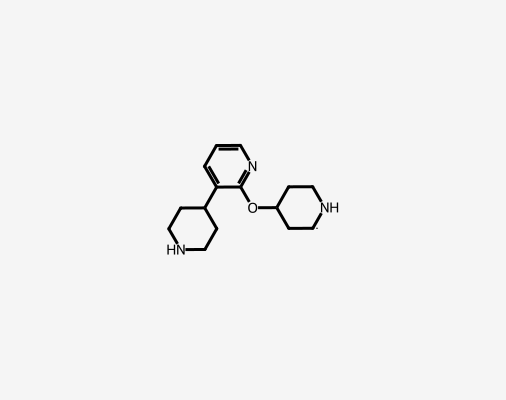 [CH]1CC(Oc2ncccc2C2CCNCC2)CCN1